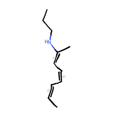 C\C=C/C=C\C=C(/C)NCCC